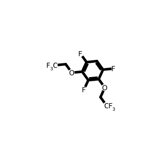 Fc1cc(F)c(OCC(F)(F)F)c(F)c1OCC(F)(F)F